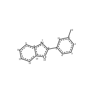 Cc1cccc(-c2nc3ccccc3o2)c1